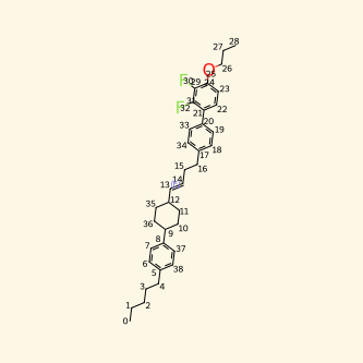 CCCCCc1ccc(C2CCC(/C=C/CCc3ccc(-c4ccc(OCCC)c(F)c4F)cc3)CC2)cc1